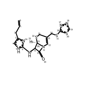 C=CCc1c[nH]c(NC2C(=O)N3C=C(CSc4nncs4)CS[C@H]23)n1